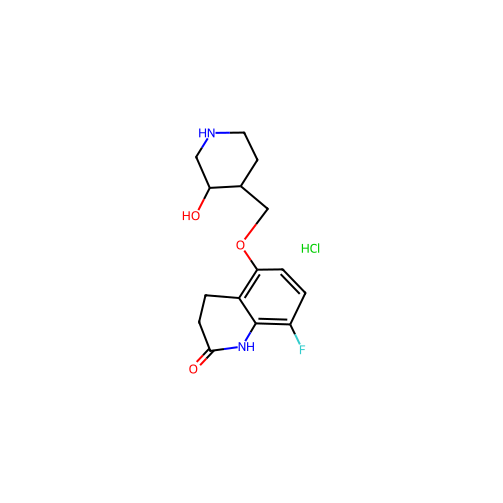 Cl.O=C1CCc2c(OCC3CCNCC3O)ccc(F)c2N1